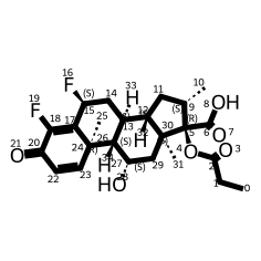 CCC(=O)O[C@]1(C(=O)O)[C@@H](C)C[C@H]2[C@@H]3C[C@H](F)C4=C(F)C(=O)C=C[C@]4(C)[C@H]3[C@@H](O)C[C@@]21C